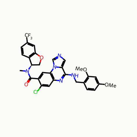 COc1ccc(CNc2nc3cc(Cl)c(C(=O)N(C)[C@@H]4COc5cc(C(F)(F)F)ccc54)cc3n3cncc23)c(OC)c1